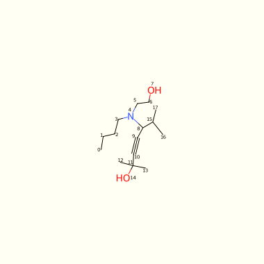 CCCCN(CCO)C(C#CC(C)(C)O)C(C)C